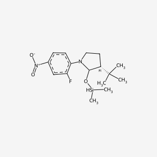 C[SiH](C)OC1[C@@H](C(C)(C)C)CCN1c1ccc([N+](=O)[O-])cc1F